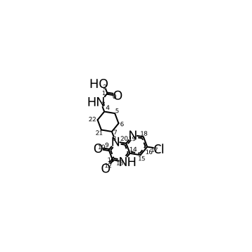 O=C(O)NC1CCC(n2c(=O)c(=O)[nH]c3cc(Cl)cnc32)CC1